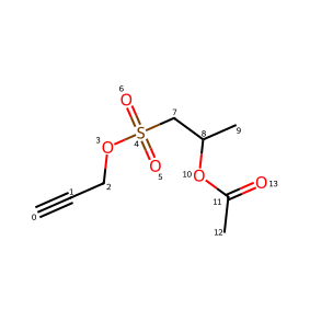 C#CCOS(=O)(=O)CC(C)OC(C)=O